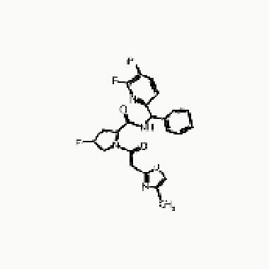 Cc1coc(CC(=O)N2CC(F)CC2C(=O)NC(c2ccccc2)c2ccc(C(C)C)c(F)n2)n1